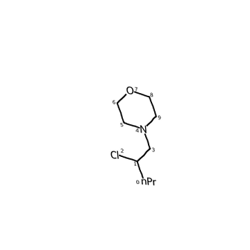 CCCC(Cl)CN1CCOCC1